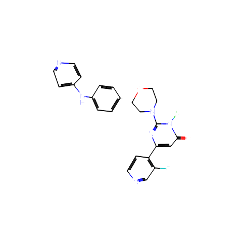 O=c1cc(-c2ccncc2F)nc(N2CCO[C@@H](c3ccc(Nc4ccncc4)cc3)C2)n1Cl